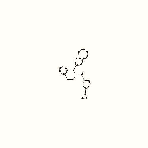 O=C(c1cnc(C2CC2)o1)N1CCc2[nH]cnc2C1c1cc2ccccn2n1